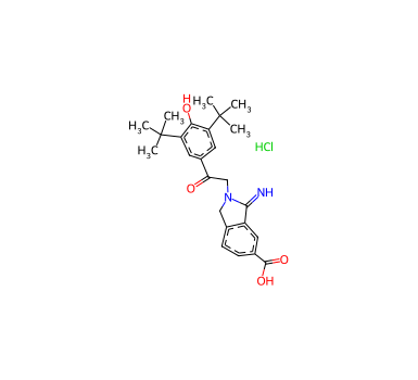 CC(C)(C)c1cc(C(=O)CN2Cc3ccc(C(=O)O)cc3C2=N)cc(C(C)(C)C)c1O.Cl